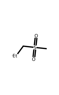 C[CH]CS(C)(=O)=O